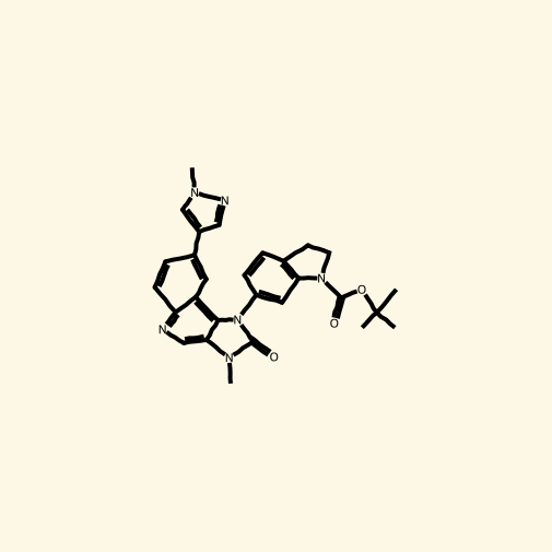 Cn1cc(-c2ccc3ncc4c(c3c2)n(-c2ccc3c(c2)N(C(=O)OC(C)(C)C)CC3)c(=O)n4C)cn1